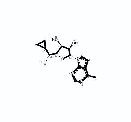 Cc1ncnc2c1ccn2[C@@H]1O[C@H]([C@H](O)C2CC2)[C@@H](O)[C@H]1O